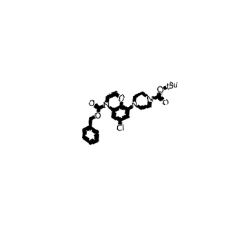 CC(C)(C)OC(=O)N1CCN(c2cc(Cl)cc3c2OCCN3C(=O)OCc2ccccc2)CC1